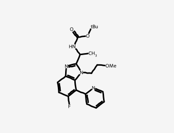 COCCn1c(C(C)NC(=O)OC(C)(C)C)nc2ccc(F)c(-c3ccccn3)c21